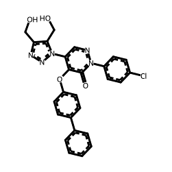 O=c1c(Oc2ccc(-c3ccccc3)cc2)c(-n2nnc(CO)c2CO)cnn1-c1ccc(Cl)cc1